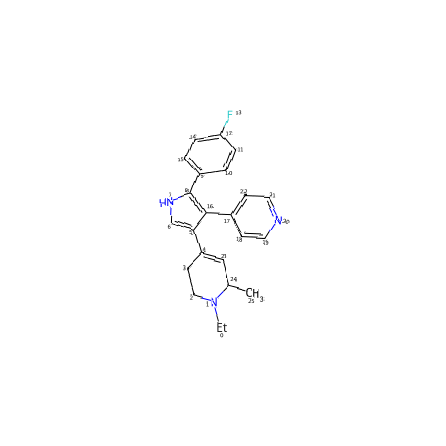 CCN1CCC(c2c[nH]c(-c3ccc(F)cc3)c2-c2ccncc2)=CC1C